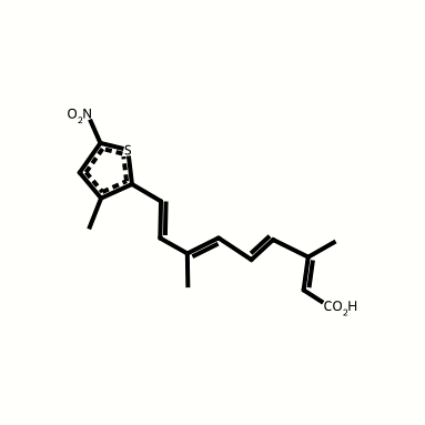 CC(C=Cc1sc([N+](=O)[O-])cc1C)=CC=CC(C)=CC(=O)O